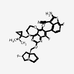 CN(C)C1(CN2CCOc3c(Cl)c(-c4ccc(F)c5sc(N)c(C#N)c45)c(F)c4nc(OC[C@@]56CCCN5C[C@H](F)C6)nc2c34)CC1